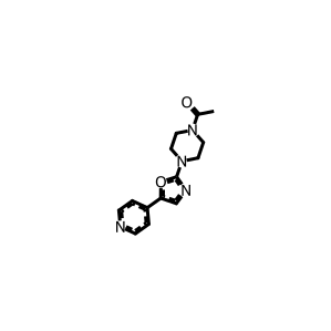 CC(=O)N1CCN(c2ncc(-c3ccncc3)o2)CC1